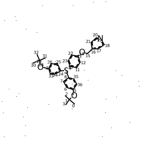 CC(C)(C)Oc1ccc([S+](c2ccc(OCc3ccncc3)cc2)c2ccc(OC(C)(C)C)cc2)cc1